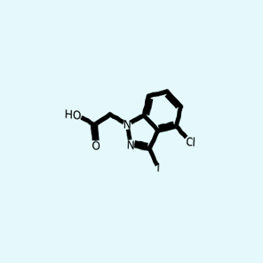 O=C(O)Cn1nc(I)c2c(Cl)cccc21